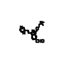 C[Si](C)(C)CCOCn1nc(C=Cc2cnccn2)c2ccc(C=O)cc21